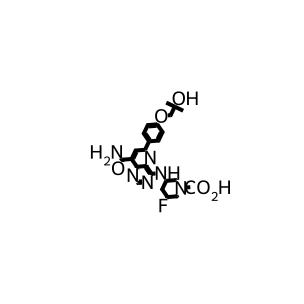 CC(C)(O)COc1ccc(-c2cc(C(N)=O)c3ncnc(NC4CC(F)CN(C(=O)O)C4)c3n2)cc1